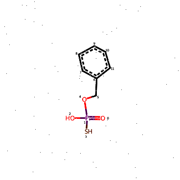 O=P(O)(S)OCc1ccccc1